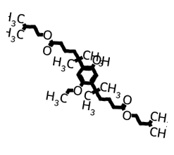 CCOc1cc(C(C)(C)CCCC(=O)OCCC(C)C)c(O)cc1C(C)(C)CCCC(=O)OCCC(C)C